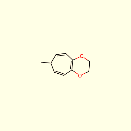 CC1C=CC2=C(C=C1)OCCO2